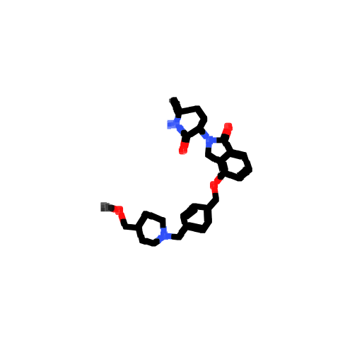 C=C1CCC(N2Cc3c(OCc4ccc(CN5CCC(COCC)CC5)cc4)cccc3C2=O)C(=O)N1